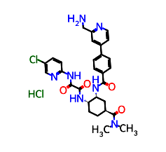 CN(C)C(=O)[C@H]1CC[C@H](NC(=O)C(=O)Nc2ccc(Cl)cn2)[C@H](NC(=O)c2ccc(-c3ccnc(CN)c3)cc2)C1.Cl